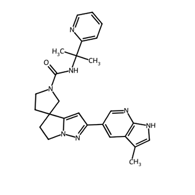 Cc1c[nH]c2ncc(-c3cc4n(n3)CCC43CCN(C(=O)NC(C)(C)c4ccccn4)C3)cc12